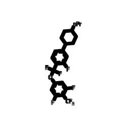 CCCC1CCC(c2ccc(C(F)(F)Oc3cc(F)c(C(F)(F)F)c(F)c3)c(F)c2)CC1